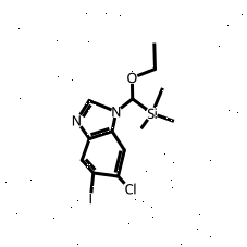 CCOC(n1cnc2cc(I)c(Cl)cc21)[Si](C)(C)C